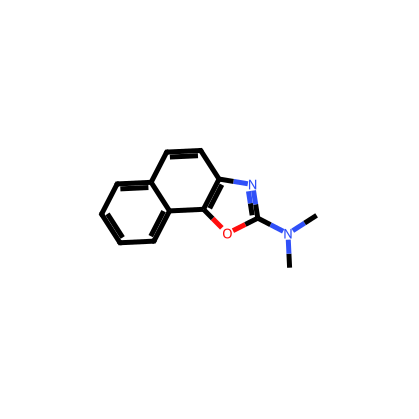 CN(C)c1nc2ccc3ccccc3c2o1